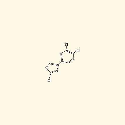 Clc1nc(-c2ccc(Cl)c(Cl)c2)cs1